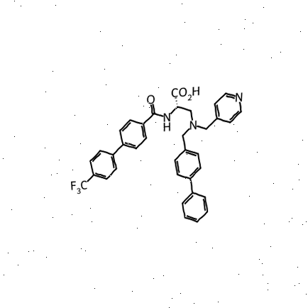 O=C(N[C@@H](CN(Cc1ccncc1)Cc1ccc(-c2ccccc2)cc1)C(=O)O)c1ccc(-c2ccc(C(F)(F)F)cc2)cc1